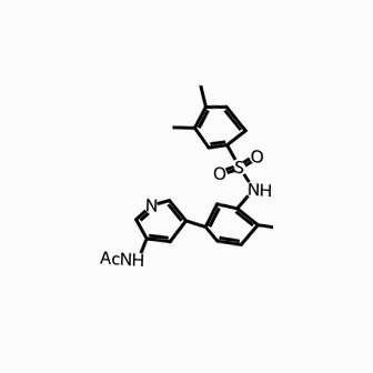 CC(=O)Nc1cncc(-c2ccc(C)c(NS(=O)(=O)c3ccc(C)c(C)c3)c2)c1